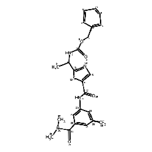 CC(NC(=O)OCc1ccccc1)c1ncc(C(=O)Nc2cc(C(=O)N(C)C)cc(C(F)(F)F)c2)s1